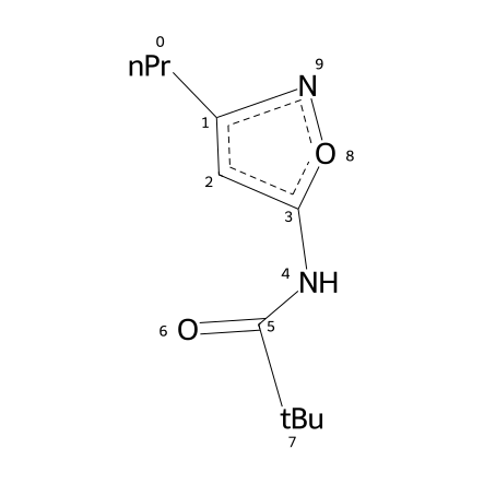 CCCc1cc(NC(=O)C(C)(C)C)on1